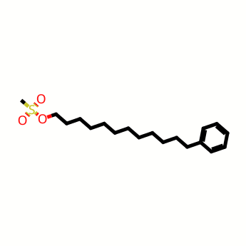 CS(=O)(=O)OCCCCCCCCCCCCc1ccccc1